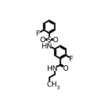 CCCNC(=O)c1cc(NS(=O)(=O)c2ccccc2F)ccc1F